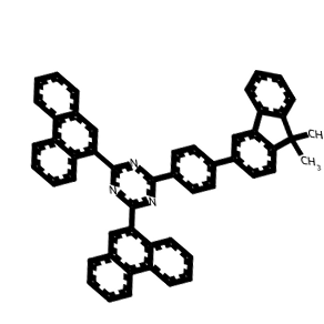 CC1(C)c2ccccc2-c2cc(-c3ccc(-c4nc(-c5cc6ccccc6c6ccccc56)nc(-c5cc6ccccc6c6ccccc56)n4)cc3)ccc21